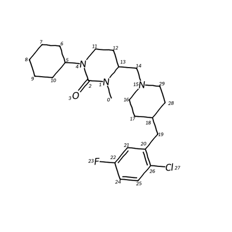 CN1C(=O)N(C2CCCCC2)CCC1CN1CCC(Cc2cc(F)ccc2Cl)CC1